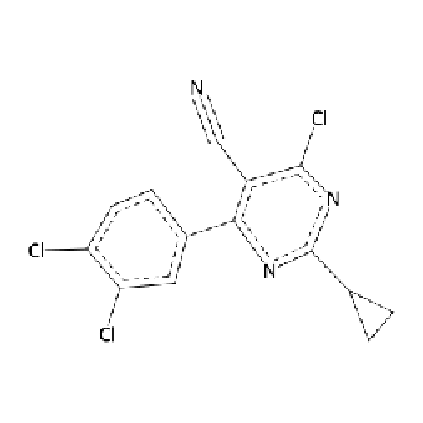 N#Cc1c(Cl)nc(C2CC2)nc1-c1ccc(Cl)c(Cl)c1